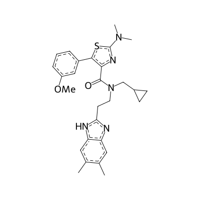 COc1cccc(-c2sc(N(C)C)nc2C(=O)N(CCc2nc3cc(C)c(C)cc3[nH]2)CC2CC2)c1